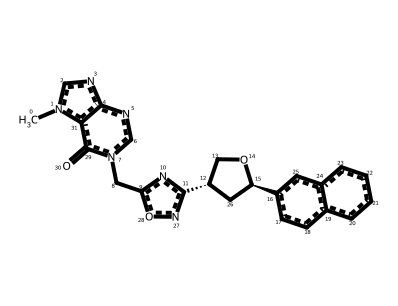 Cn1cnc2ncn(Cc3nc([C@@H]4CO[C@@H](c5ccc6ccccc6c5)C4)no3)c(=O)c21